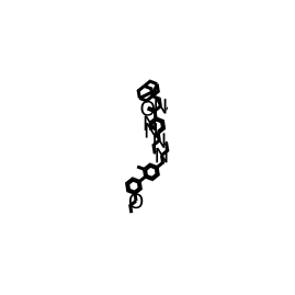 CCOc1cccc(-c2ccc(CN3CCN(c4ccc(C(=O)N(C)CC56CC7CC(CC(C7)C5)C6)nn4)CC3)cc2C)c1